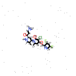 CC1=CN(C)[C@@H](C(=O)/C=C/N(C)C)C=C1n1c(C)cc(OCc2ncc(F)cc2F)c(Cl)c1=O